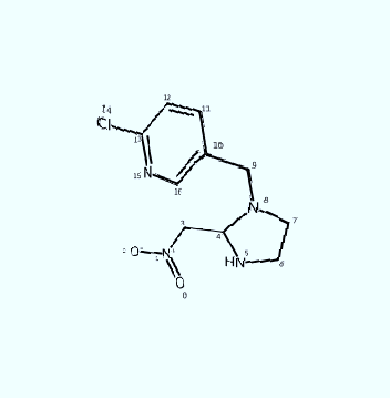 O=[N+]([O-])CC1NCCN1Cc1ccc(Cl)nc1